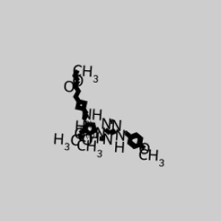 CCOC(=O)CCC1CC(NC[C@H]2C[C@@H](n3cnc4c(NCc5ccc(OC)cc5)ncnc43)[C@@H]3OC(C)(C)O[C@H]23)C1